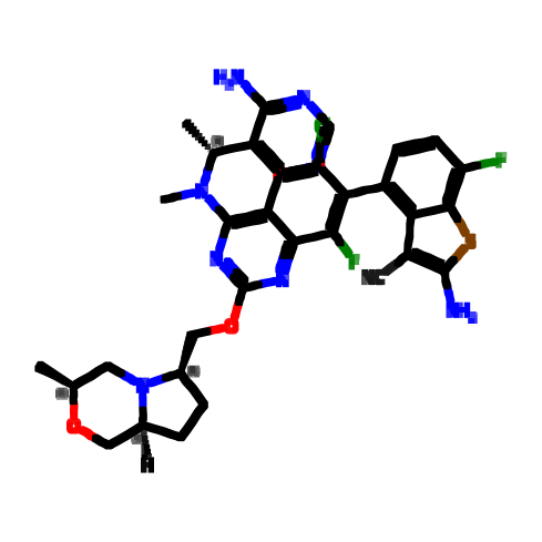 C[C@H](c1cncnc1N)N(C)c1nc(OC[C@H]2CC[C@H]3CO[C@@H](C)CN23)nc2c(F)c(-c3ccc(F)c4sc(N)c(C#N)c34)c(Cl)cc12